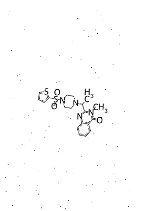 CC(c1nc2ccccc2c(=O)n1C)N1CCN(S(=O)(=O)c2cccs2)CC1